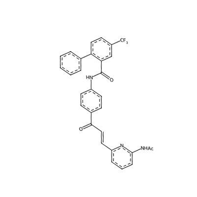 CC(=O)Nc1cccc(C=CC(=O)c2ccc(NC(=O)c3cc(C(F)(F)F)ccc3-c3ccccc3)cc2)n1